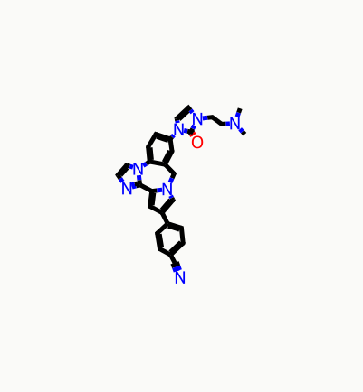 CN(C)CCn1ccn(-c2ccc3c(c2)Cn2cc(-c4ccc(C#N)cc4)cc2-c2nccn2-3)c1=O